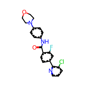 O=C(Nc1ccc(N2CCOCC2)cc1)c1ccc(-c2ncccc2Cl)cc1F